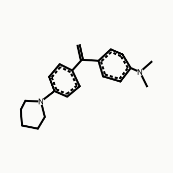 C=C(c1ccc(N(C)C)cc1)c1ccc(N2CCCCC2)cc1